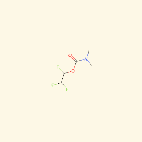 CN(C)C(=O)OC(F)C(F)F